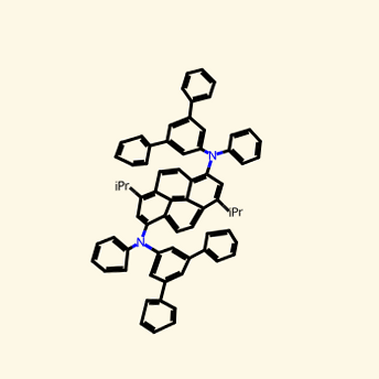 CC(C)c1cc(N(c2ccccc2)c2cc(-c3ccccc3)cc(-c3ccccc3)c2)c2ccc3c(C(C)C)cc(N(c4ccccc4)c4cc(-c5ccccc5)cc(-c5ccccc5)c4)c4ccc1c2c34